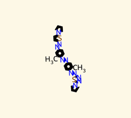 Cc1cc(/N=N/c2ccc(N3CCCC3)s2)ccc1/N=N/c1ccc(/N=N/c2nnc(N3CCCC3)s2)c(C)c1